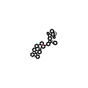 c1ccc(-c2ccccc2N(c2ccc(-c3ccc4c(c3)c3cc5c(cc3n4-c3ccccc3)C3(c4ccccc4Oc4ccccc43)c3ccccc3-5)cc2)c2cccc3c2-c2ccccc2C32c3ccccc3-c3ccccc32)cc1